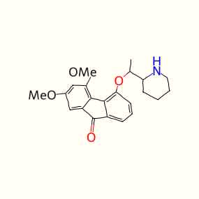 COc1cc(OC)c2c(c1)C(=O)c1cccc(OC(C)C3CCCCN3)c1-2